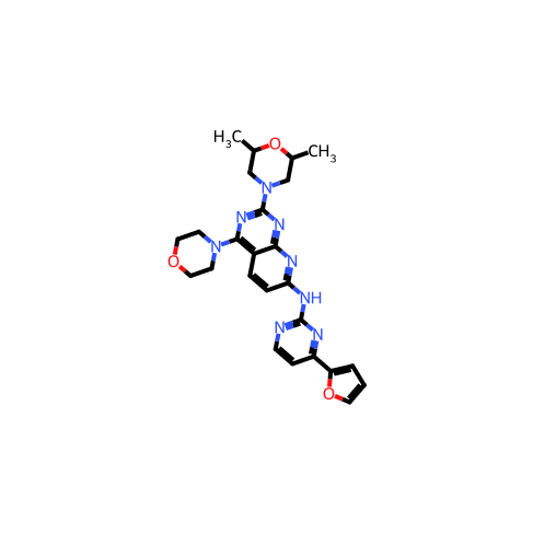 CC1CN(c2nc(N3CCOCC3)c3ccc(Nc4nccc(-c5ccco5)n4)nc3n2)CC(C)O1